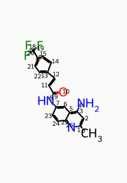 Cc1cc(N)c2cc(NC(=O)C=Cc3ccc(C(F)(F)F)cc3)ccc2n1